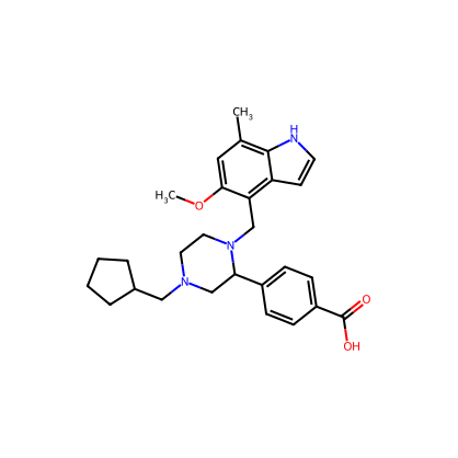 COc1cc(C)c2[nH]ccc2c1CN1CCN(CC2CCCC2)CC1c1ccc(C(=O)O)cc1